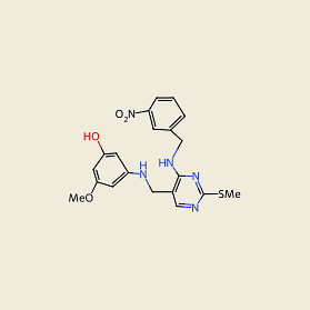 COc1cc(O)cc(NCc2cnc(SC)nc2NCc2cccc([N+](=O)[O-])c2)c1